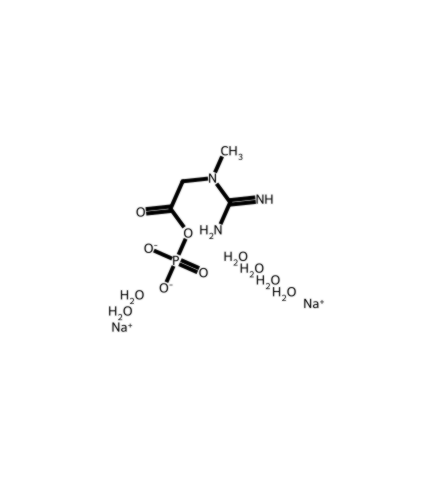 CN(CC(=O)OP(=O)([O-])[O-])C(=N)N.O.O.O.O.O.O.[Na+].[Na+]